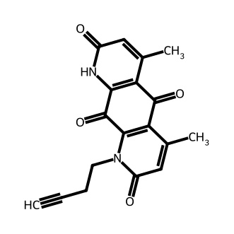 C#CCCn1c2c(c(C)cc1=O)C(=O)c1c(C)cc(=O)[nH]c1C2=O